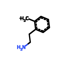 [CH2]c1ccccc1CCN